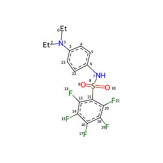 CCN(CC)c1ccc(NS(=O)(=O)c2c(F)c(F)c(F)c(F)c2F)cc1